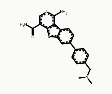 CN(C)Cc1ccc(-c2ccc3c(c2)sc2c(C(N)=O)cnc(N)c23)cc1